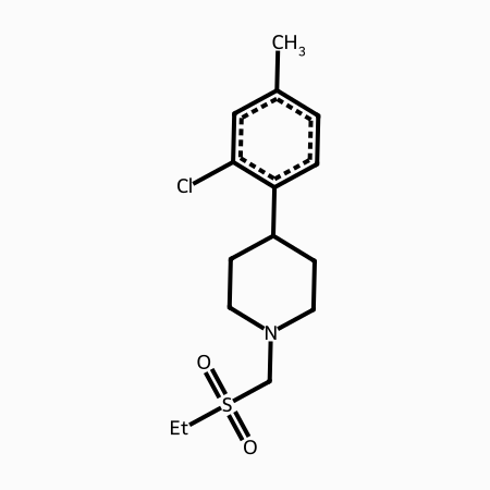 CCS(=O)(=O)CN1CCC(c2ccc(C)cc2Cl)CC1